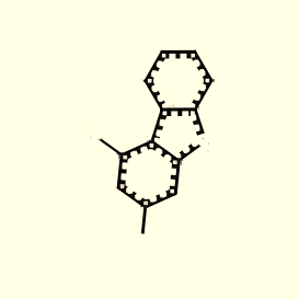 CC(C)(C)c1cc(C(C)(C)C)c2c(c1)[nH]c1ccccc12